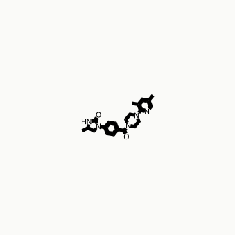 Cc1cnc(N2CCN(C(=O)c3ccc(N4CC(C)NC4=O)cc3)CC2)c(C)c1